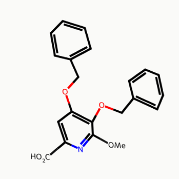 COc1nc(C(=O)O)cc(OCc2ccccc2)c1OCc1ccccc1